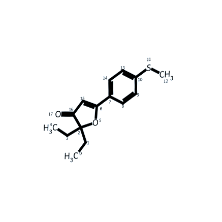 CCC1(CC)OC(c2ccc(SC)cc2)=CC1=O